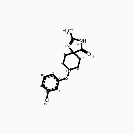 CC1=NC2(CCN(Sc3cccc(Cl)c3)CC2)C(=O)N1